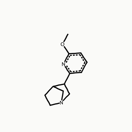 COc1cccc(C2CN3CCC2C3)n1